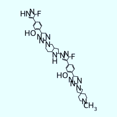 CN1CCC2(CC1)CN(c1ncc(-c3ccc(-c4cn(C5CC6CN(c7ncc(-c8ccc(-c9c[nH]nc9F)cc8O)nn7)CCC6N5)nc4F)cc3O)nn1)C2